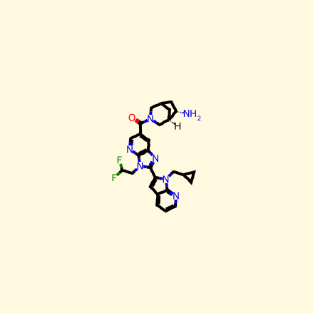 N[C@H]1CC2C[C@@H]1CN(C(=O)c1cnc3c(c1)nc(-c1cc4cccnc4n1CC1CC1)n3CC(F)F)C2